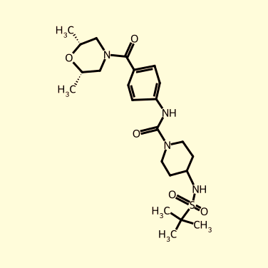 C[C@@H]1CN(C(=O)c2ccc(NC(=O)N3CCC(NS(=O)(=O)C(C)(C)C)CC3)cc2)C[C@H](C)O1